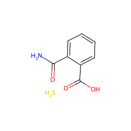 NC(=O)c1ccccc1C(=O)O.S